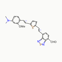 COc1cc(N(C)C)ccc1/C=C/c1ccc(/C=C/c2ccc(C=O)c3nsnc23)s1